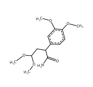 COc1ccc(C(CC(OC)OC)C(N)=O)cc1OC